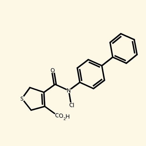 O=C(O)C1=C(C(=O)N(Cl)c2ccc(-c3ccccc3)cc2)CSC1